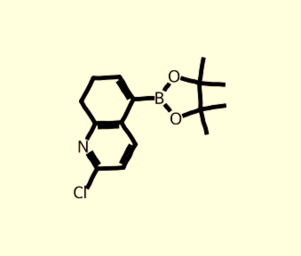 CC1(C)OB(C2=CCCc3nc(Cl)ccc32)OC1(C)C